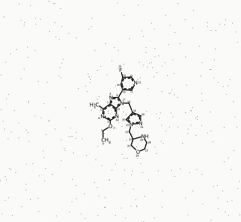 CCOc1nc(C)c2nc(-c3cncc(F)c3)n(Cc3cnn(CC4COCCN4)c3)c2n1